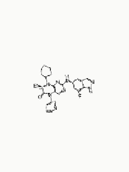 CC[C@@H]1C(=O)N(c2cccnc2)c2cnc(Nc3cc(F)c4[nH]ncc4c3)nc2N1C1CCCCC1